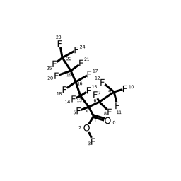 O=C(OF)C(F)(C(F)(F)C(F)(F)F)C(F)(F)C(F)(F)C(F)(F)C(F)(F)F